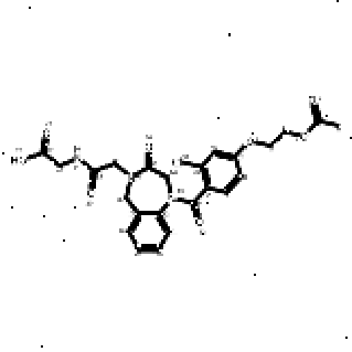 CC(=O)OCCOc1ccc(C(=O)N2CC(=O)N(CC(=O)NCC(=O)O)Cc3ccccc32)c(Cl)c1